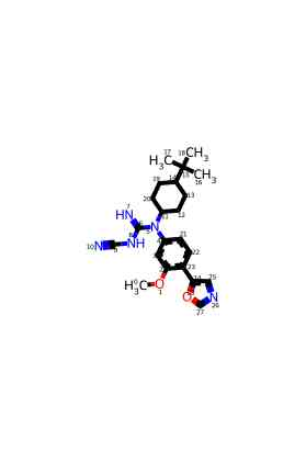 COc1cc(N(C(=N)NC#N)C2CCC(C(C)(C)C)CC2)ccc1-c1cnco1